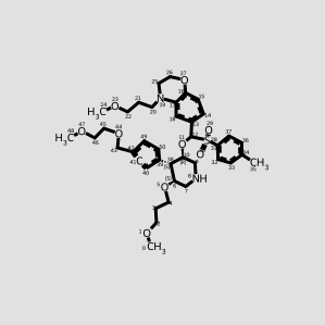 COCCCO[C@@H]1CNC[C@H](OC(c2ccc3c(c2)N(CCCOC)CCO3)S(=O)(=O)c2ccc(C)cc2)[C@H]1c1ccc(COCCOC)cc1